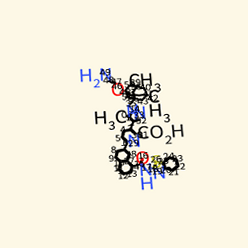 Cc1c(-c2ccc(-c3ccc4cccc(C(=O)Nc5nc6ccccc6s5)c4c3)nc2C(=O)O)cnn1CC12CC3(C)CC(C)(C1)CC(OCCN)(C3)C2